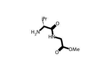 COC(=O)CNC(=O)[C@H](N)C(C)C